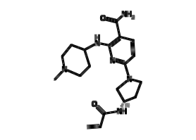 C=CC(=O)N[C@H]1CCN(c2ccc(C(N)=O)c(NC3CCN(C)CC3)n2)C1